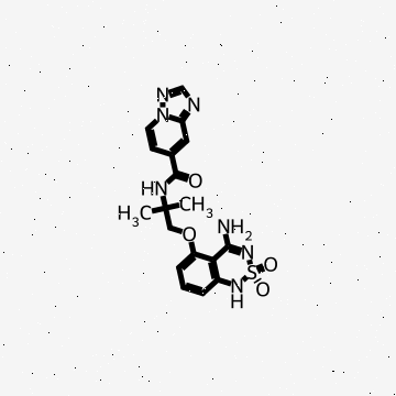 CC(C)(COc1cccc2c1C(N)=NS(=O)(=O)N2)NC(=O)c1ccn2ncnc2c1